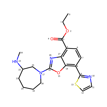 CCOC(=O)c1ccc(-c2nccs2)c2oc(N3CCCCC(NC)C3)nc12